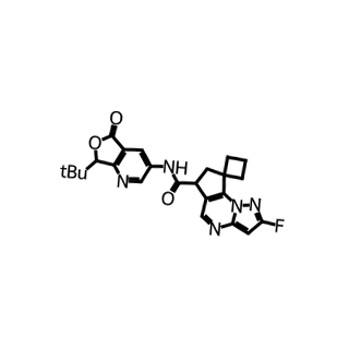 CC(C)(C)C1OC(=O)c2cc(NC(=O)C3CC4(CCC4)c4c3cnc3cc(F)nn43)cnc21